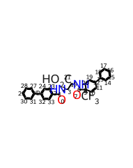 O=C(NCC(NC(=O)C1(C(F)(F)F)C=CC(c2ccccc2)=CC1)C(=O)O)c1ccc(-c2ccccc2)cc1